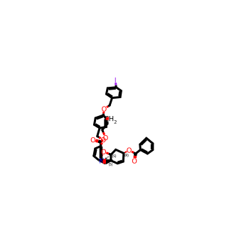 C=CCOC(=O)N1CC[C@@]23C=C[C@H](OC(=O)c4ccccc4)C[C@@H]2Oc2c(OCc4ccc(OCc5ccc(I)cc5)cc4)ccc(c23)C1